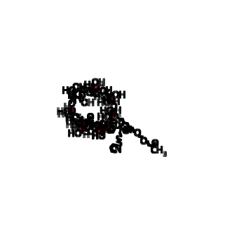 CN[C@H](CSCC1O[C@H]2O[C@@H]3C(CO)O[C@H](O[C@@H]4C(CO)O[C@H](O[C@@H]5C(CO)O[C@H](O[C@@H]6C(CSCC(CC(=O)CCOCCOCCC(C)=O)C(=O)NCCSSc7ccccn7)O[C@H](O[C@@H]7C(CO)O[C@H](O[C@@H]8C(CO)O[C@@H](O[C@H]1[C@H](O)C2O)C(O)[C@H]8O)C(O)[C@H]7O)C(O)[C@H]6O)C(O)[C@H]5O)C(O)[C@H]4O)C(O)[C@H]3O)C(=O)NCCSSc1ccccn1